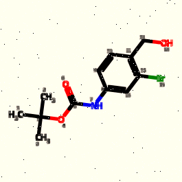 CC(C)(C)OC(=O)Nc1ccc(CO)c(Br)c1